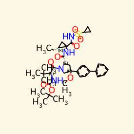 CC[C@@H]1C[C@]1(NC(=O)[C@@H]1C[C@@](OC)(c2ccc(-c3ccccc3)cc2)CN1C(=O)[C@@H](NC(=O)OC(C)(C)C)C(C)(C)C)C(=O)NS(=O)(=O)C1CC1